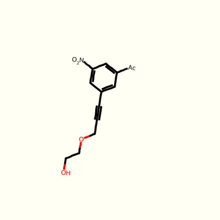 CC(=O)c1cc(C#CCOCCO)cc([N+](=O)[O-])c1